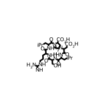 CC(C)CC(NC(=O)C(N)CC(=O)O)C(=O)NC(CO)C(=O)NC(CCCNC(=N)N)C(=O)NC(CC(C)C)C(=O)N1CCCC1C(=O)O